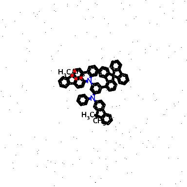 CC1(C)c2ccccc2-c2ccc(N(c3ccccc3)c3cc(-c4cccc5c4-c4ccccc4C54c5ccccc5-c5ccccc54)cc(N(c4ccc5c(c4)C(C)(C)c4ccccc4-5)c4ccccc4-c4ccccc4)c3)cc21